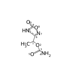 CC(OC(N)=O)c1noc(=O)[nH]1